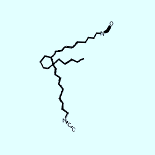 CCCCCC1(CCCCCCCCCN=C=O)CCCCC1CCCCCCCCCN=C=O